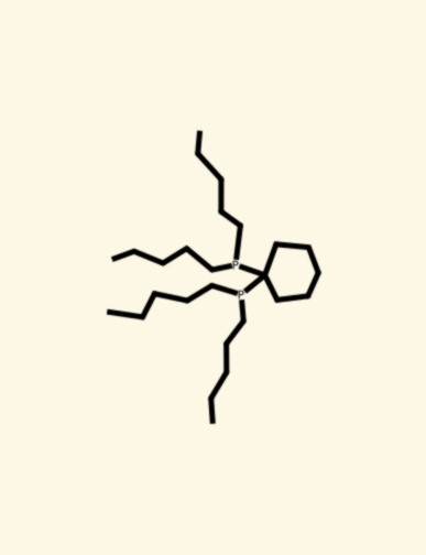 CCCCCP(CCCCC)C1(P(CCCCC)CCCCC)CCCCC1